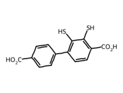 O=C(O)c1ccc(-c2ccc(C(=O)O)c(S)c2S)cc1